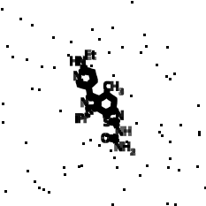 CCNc1ccc(-c2nn(C(C)C)c3c2C(C)Cc2nc(NC(N)=O)sc2-3)cn1